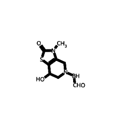 Cn1c2c(sc1=O)C(O)CN(BC=O)C2